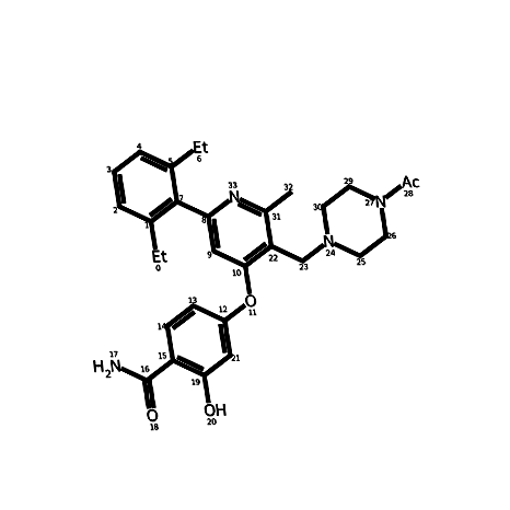 CCc1cccc(CC)c1-c1cc(Oc2ccc(C(N)=O)c(O)c2)c(CN2CCN(C(C)=O)CC2)c(C)n1